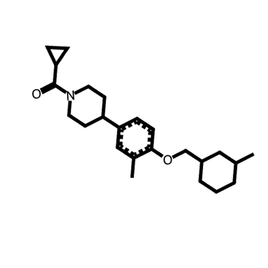 Cc1cc(C2CCN(C(=O)C3CC3)CC2)ccc1OCC1CCCC(C)C1